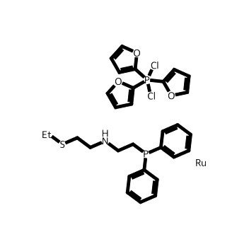 CCSCCNCCP(c1ccccc1)c1ccccc1.ClP(Cl)(c1ccco1)(c1ccco1)c1ccco1.[Ru]